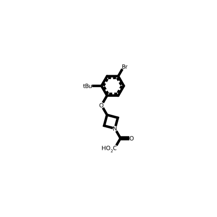 CC(C)(C)c1cc(Br)ccc1OC1CN(C(=O)C(=O)O)C1